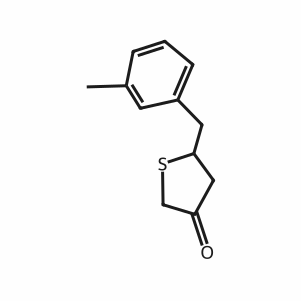 Cc1cccc(CC2CC(=O)CS2)c1